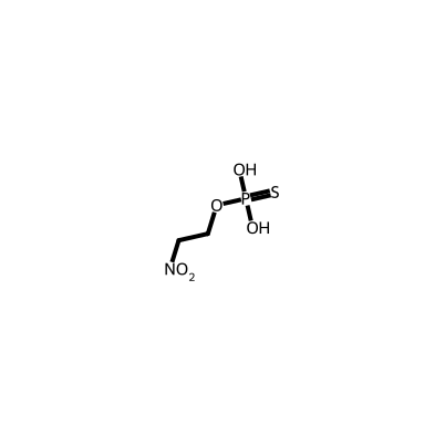 O=[N+]([O-])CCOP(O)(O)=S